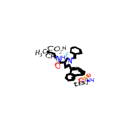 CC(C)(C)NS(=O)(=O)c1ccc(-c2cc(C(=O)NCCC(C)(C)C(=O)O)c(F)n2CC2CCCCC2)c2ccccc12